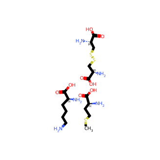 CSCC[C@H](N)C(=O)O.NCCCC[C@H](N)C(=O)O.N[C@@H](CSSC[C@H](N)C(=O)O)C(=O)O